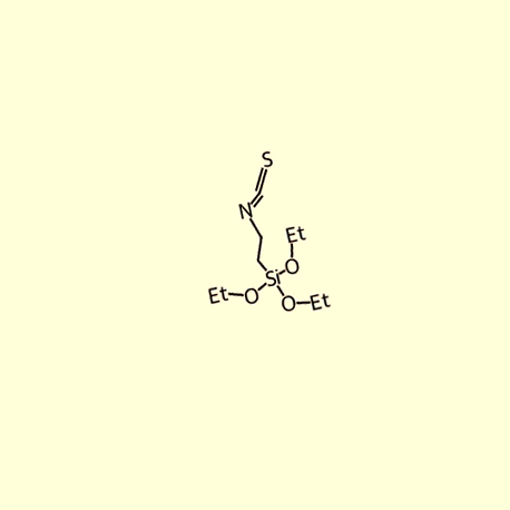 CCO[Si](CCN=C=S)(OCC)OCC